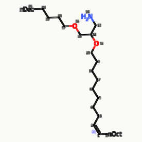 CCCCCCCC/C=C\CCCCCCCCOC(CN)COCCCCCCCCCCCCCC